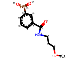 CCOCCCNC(=O)c1cccc([SH](=O)=O)c1